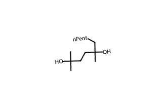 CCCCCCC(C)(O)CCC(C)(C)O